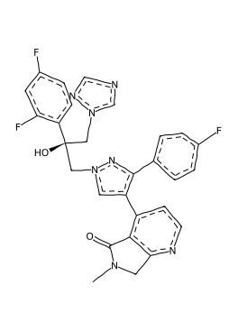 CN1Cc2nccc(-c3cn(C[C@@](O)(Cn4cncn4)c4ccc(F)cc4F)nc3-c3ccc(F)cc3)c2C1=O